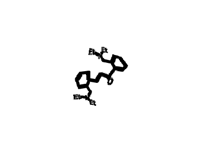 CCN(CC)Cc1ccccc1C=CC(=O)c1ccccc1CN(CC)CC